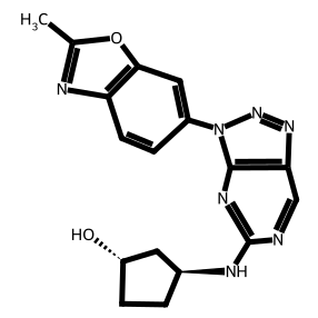 Cc1nc2ccc(-n3nnc4cnc(N[C@H]5CC[C@H](O)C5)nc43)cc2o1